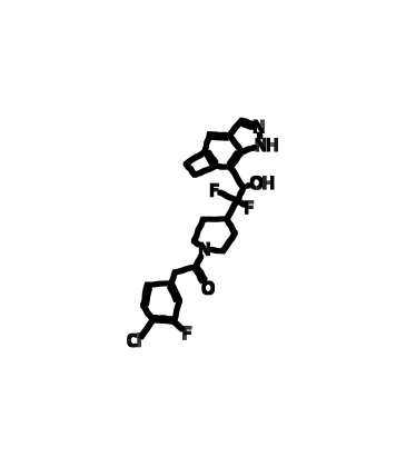 O=C(Cc1ccc(Cl)c(F)c1)N1CCC(C(F)(F)[C@H](O)c2c3c(cc4cn[nH]c24)CC3)CC1